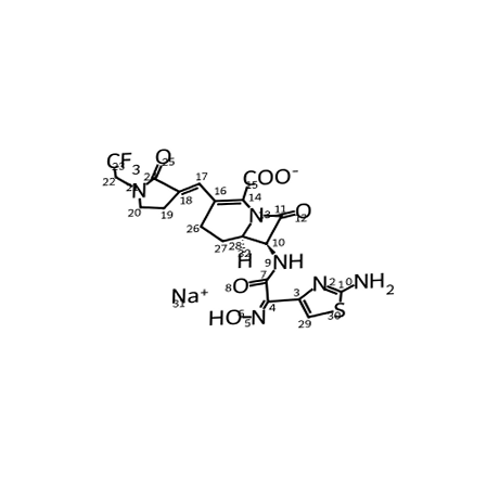 Nc1nc(/C(=N/O)C(=O)N[C@@H]2C(=O)N3C(C(=O)[O-])=C(/C=C4\CCN(CC(F)(F)F)C4=O)CC[C@H]23)cs1.[Na+]